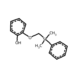 C[Si](C)(COc1ccccc1O)c1ccccc1